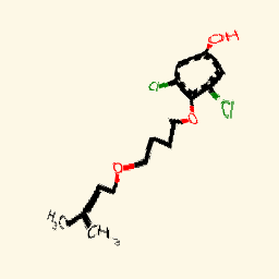 CC(C)=CCOCCCCOc1c(Cl)cc(O)cc1Cl